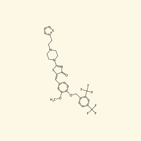 COc1cc(/C=C2/SC(N3CCN(CCc4cccs4)CC3)=NC2=O)ccc1OCc1ccc(C(F)(F)F)cc1C(F)(F)F